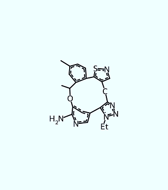 CCn1nnc2c1-c1cnc(N)c(c1)OC(C)c1cc(C)ccc1-c1sncc1C2